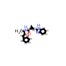 CC(NC(=O)[C@H]1C[C@@H]1c1nc2ccccc2[nH]1)c1cc2ccccc2o1